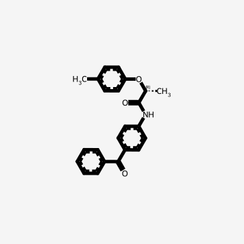 Cc1ccc(O[C@H](C)C(=O)Nc2ccc(C(=O)c3ccccc3)cc2)cc1